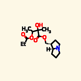 CCC(=O)OC(C)C(C)(O)C(=O)OC[C@@H]1CCN2CCC[C@@H]12